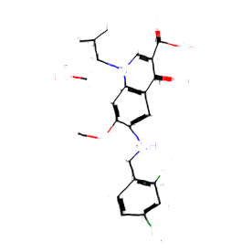 COc1cc2c(cc1NCc1ccc(F)cc1F)c(=O)c(C(=O)O)cn2[C@H](CO)C(C)C